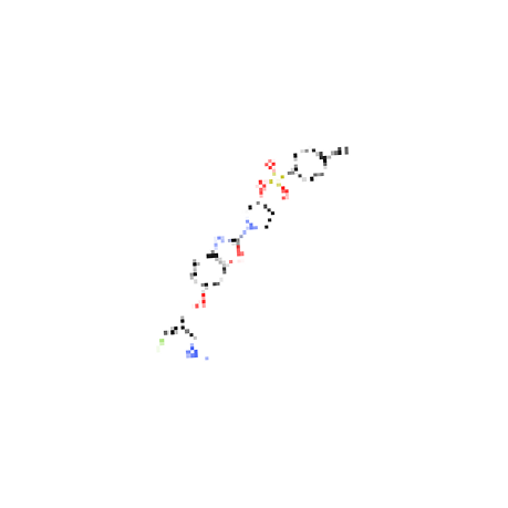 Cc1ccc(S(=O)(=O)OC2CCN(c3nc4ccc(OC/C(=C/F)CN)cc4o3)C2)cc1